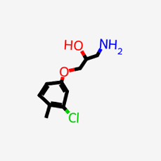 Cc1ccc(OCC(O)CN)cc1Cl